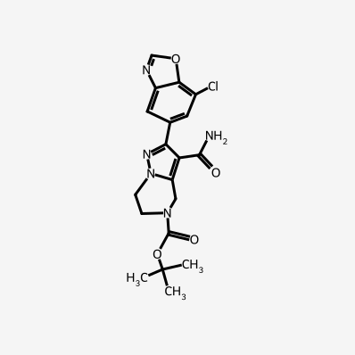 CC(C)(C)OC(=O)N1CCn2nc(-c3cc(Cl)c4ocnc4c3)c(C(N)=O)c2C1